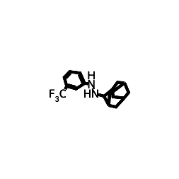 FC(F)(F)c1cccc(NNC2C3CC4CC(C3)CC2C4)c1